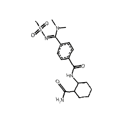 CN(C)C(=NS(C)(=O)=O)c1ccc(C(=O)NC2CCCCC2C(N)=O)cc1